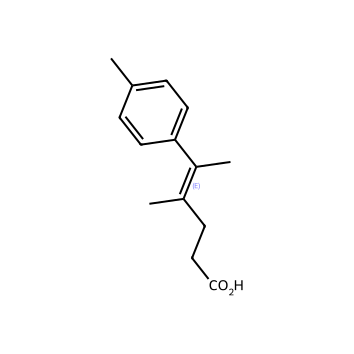 C/C(CCC(=O)O)=C(/C)c1ccc(C)cc1